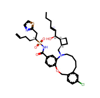 C=CCC[C@@H](Cc1nccs1)S(=O)(=O)NC(=O)c1ccc2c(c1)N(C[C@@H]1CC[C@@H]1[C@@H](O)/C=C/CCC)CCCCc1cc(Cl)ccc1CO2